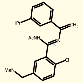 C=C(/N=C(\NC(C)=O)c1cc(CNC)ccc1Cl)c1cccc(C(C)C)c1